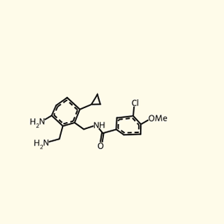 COc1ccc(C(=O)NCc2c(C3CC3)ccc(N)c2CN)cc1Cl